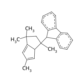 CC1=CC2C(=C1)C(C)(C)CC2(C)C1c2ccccc2-c2ccccc21